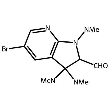 CNN1c2ncc(Br)cc2C(NC)(NC)C1C=O